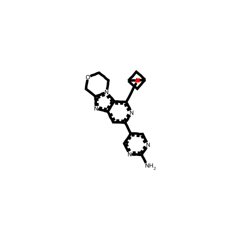 Nc1ncc(-c2cc3nc4n(c3c(N3CC5CC3C5)n2)CCOC4)cn1